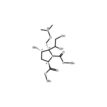 C[SiH](C)OC[C@@]1(C(O)CO)[C@@H](C(C)(C)C)C[C@H](C(=O)OC(C)(C)C)N1C(=O)OC(C)(C)C